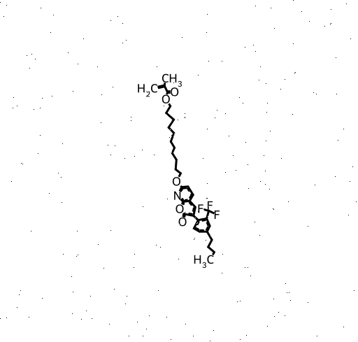 C=C(C)C(=O)OCCCCCCCCCCCOc1ccc2cc(-c3ccc(CCCC)cc3C(F)(F)F)c(=O)oc2n1